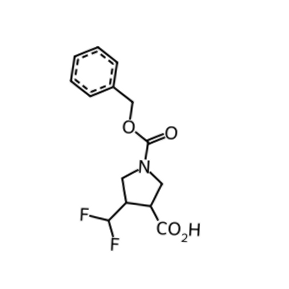 O=C(O)C1CN(C(=O)OCc2ccccc2)CC1C(F)F